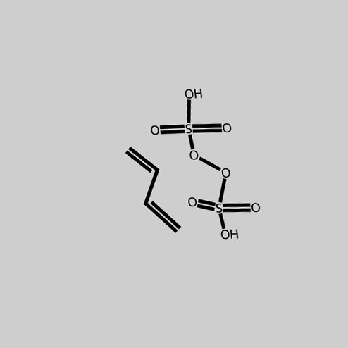 C=CC=C.O=S(=O)(O)OOS(=O)(=O)O